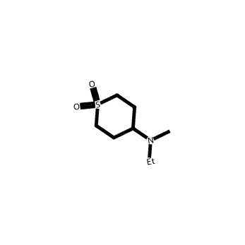 CCN(C)C1CCS(=O)(=O)CC1